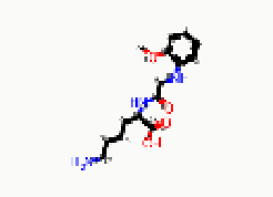 COc1ccccc1NCC(=O)NC(CCCCN)C(=O)O